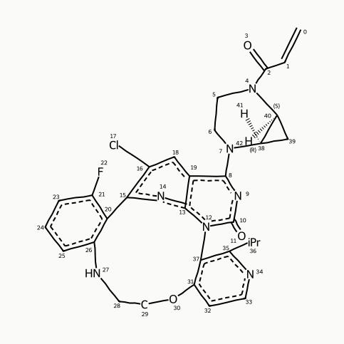 C=CC(=O)N1CCN(c2nc(=O)n3c4nc(c(Cl)cc24)-c2c(F)cccc2NCCOc2ccnc(C(C)C)c2-3)[C@@H]2C[C@@H]21